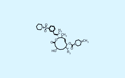 C/C(=C\c1cccc(S(=O)(=O)N2CCCCC2)c1)[C@H]1OC(=O)C[C@H](O)CC[C@H](C)[C@@H](OC(=O)N2CCN(C)CC2)/C=C/[C@@H]1C